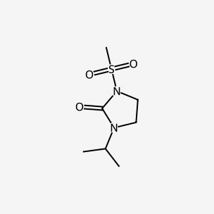 CC(C)N1CCN(S(C)(=O)=O)C1=O